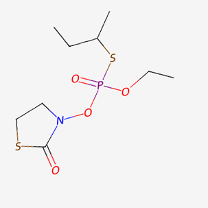 CCOP(=O)(ON1CCSC1=O)SC(C)CC